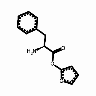 N[C@@H](Cc1ccccc1)C(=O)Oc1ccco1